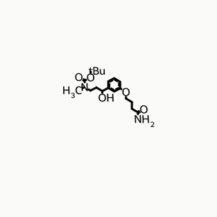 CN(CCC(O)c1cccc(OCCCC(N)=O)c1)C(=O)OC(C)(C)C